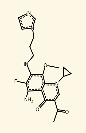 COc1c(NCCCn2ccnc2)c(F)c(N)c2c(=O)c(C(C)=O)cn(C3CC3)c12